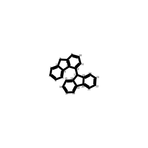 [CH]1c2ccccc2-c2c1cccc2C1c2ccccc2-c2ccccc21